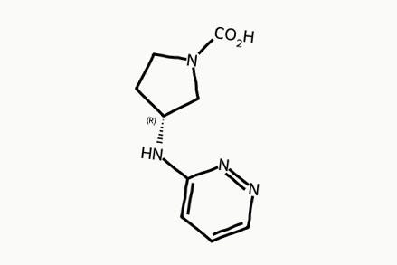 O=C(O)N1CC[C@@H](Nc2cccnn2)C1